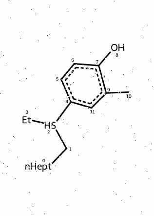 CCCCCCCC[SH](CC)c1ccc(O)c(C)c1